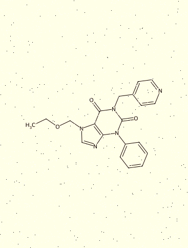 CCOCn1cnc2c1c(=O)n(Cc1ccncc1)c(=O)n2-c1ccccc1